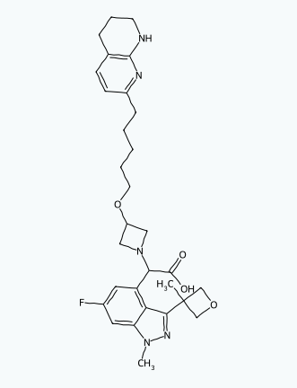 Cn1nc(C2(C)COC2)c2c(C(C(=O)O)N3CC(OCCCCCc4ccc5c(n4)NCCC5)C3)cc(F)cc21